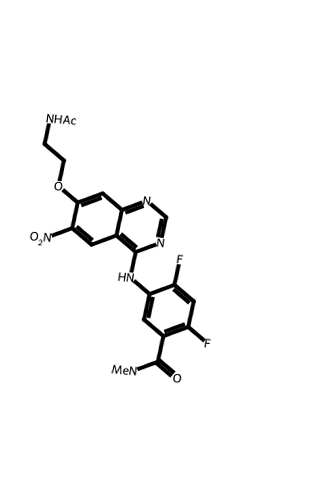 CNC(=O)c1cc(Nc2ncnc3cc(OCCNC(C)=O)c([N+](=O)[O-])cc23)c(F)cc1F